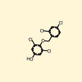 Oc1cc(Cl)c(OCc2ccc(Cl)cc2Cl)c(Cl)c1